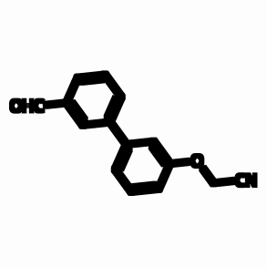 N#CCOc1cccc(-c2cccc(C=O)c2)c1